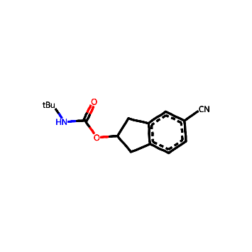 CC(C)(C)NC(=O)OC1Cc2ccc(C#N)cc2C1